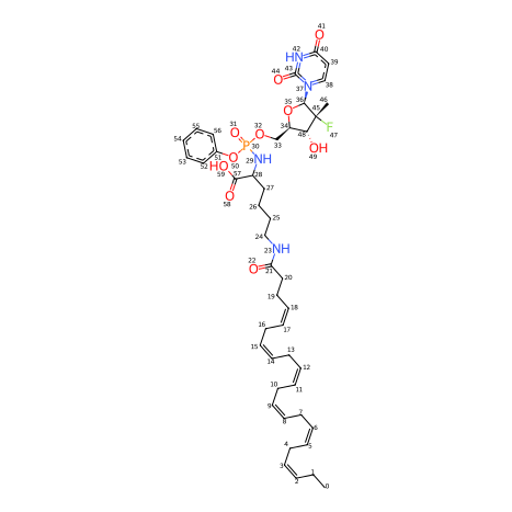 CC/C=C\C/C=C\C/C=C\C/C=C\C/C=C\C/C=C\CCC(=O)NCCCCC(NP(=O)(OC[C@H]1O[C@@H](n2ccc(=O)[nH]c2=O)[C@](C)(F)[C@@H]1O)Oc1ccccc1)C(=O)O